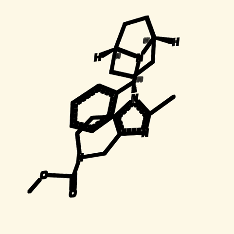 COC(=O)N1CCc2c(nc(C)n2[C@H]2C[C@H]3CC[C@@H](C2)N3Cc2ccccc2)C1